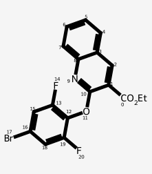 CCOC(=O)c1cc2ccccc2nc1Oc1c(F)cc(Br)cc1F